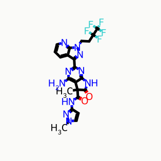 Cn1ccc(NC(=O)C2(C)C(=O)Nc3nc(-c4nn(CCC(F)(F)C(F)(F)F)c5ncccc45)nc(N)c32)n1